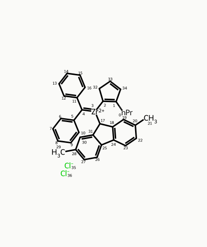 CCCC1=[C]([Zr+2](=[C](c2ccccc2)c2ccccc2)[CH]2c3cc(C)ccc3-c3ccc(C)cc32)CC=C1.[Cl-].[Cl-]